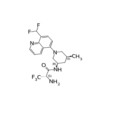 C[C@H]1C[C@@H](NC(=O)[C@H](N)C(F)(F)F)CN(c2ccc(C(F)F)c3ncccc23)C1